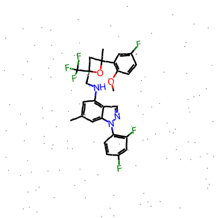 COc1ccc(F)cc1C1(C)C[C@@](CNc2cc(C)cc3c2cnn3-c2ccc(F)cc2F)(C(F)(F)F)O1